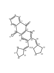 C=C1c2ccccc2C(=O)c2nc(C=C3CCCC3)c(C=C3CCCC3)nc21